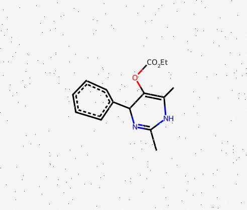 CCOC(=O)OC1=C(C)NC(C)=NC1c1ccccc1